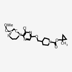 COOS1=NCCN(c2ncc(OCC3CCN(C(=O)OC4(C)CC4)CC3)nc2Cl)CC1